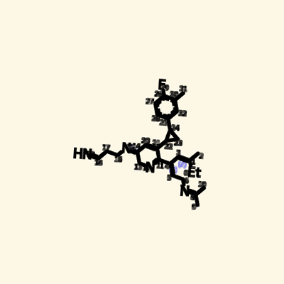 CC/C(C)=C\C(=C/CN=C(C)C)C1=NC/C(=N\CCC=N)C=C1C1CC1c1ccc(F)c(C)c1